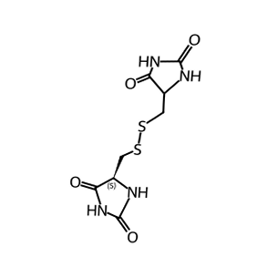 O=C1NC(=O)C(CSSC[C@H]2NC(=O)NC2=O)N1